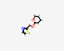 c1csc(COC2CCCCO2)n1